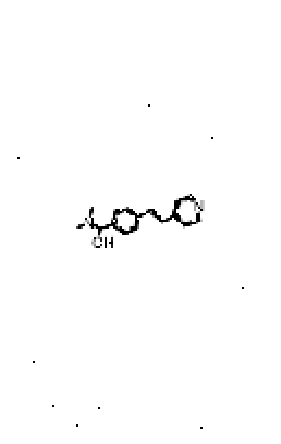 CN(C)C(O)c1ccc(/C=C/c2ccncc2)cc1